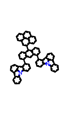 c1cc2ccc3cccc4c(-c5c6cccc(-c7cccc8c7c7cccc9c%10ccccc%10n8c97)c6cc6c(-c7cccc8c7c7cccc9c%10ccccc%10n8c97)cccc56)cc(c1)c2c34